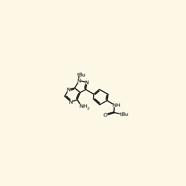 CC(C)(C)C(=O)Nc1ccc(-c2nn(C(C)(C)C)c3ncnc(N)c23)cc1